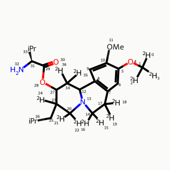 [2H]C([2H])([2H])Oc1cc2c(cc1OC)C1N(C([2H])([2H])C2([2H])[2H])C([2H])([2H])C([2H])(CC(C)C)C(OC(=O)[C@@H](N)C(C)C)C1([2H])[2H]